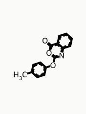 Cc1ccc(Oc2nc3ccccc3c(=O)o2)cc1